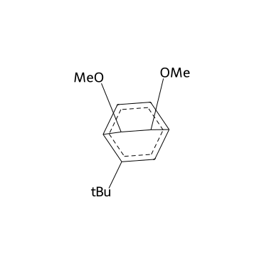 COC1c2ccc(c(C(C)(C)C)c2)C1OC